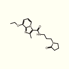 CCOc1cccn2c(C(=O)NCCCN3CCCC3=O)c(C)nc12